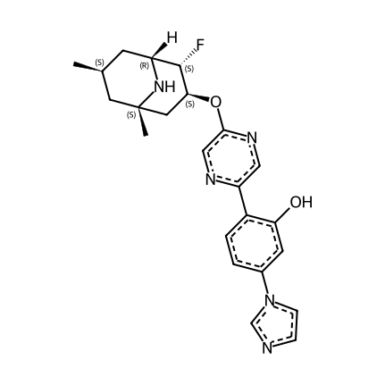 C[C@H]1C[C@H]2N[C@@](C)(C1)C[C@H](Oc1cnc(-c3ccc(-n4ccnc4)cc3O)cn1)[C@H]2F